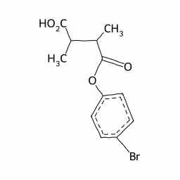 CC(C(=O)O)C(C)C(=O)Oc1ccc(Br)cc1